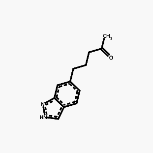 CC(=O)CCCc1ccc2c[nH]nc2c1